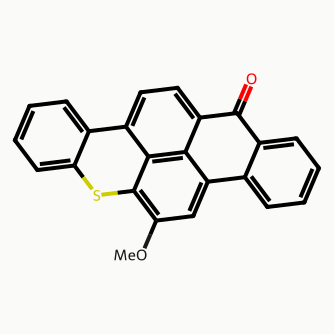 COc1cc2c3ccccc3c(=O)c3ccc4c5ccccc5sc1c4c32